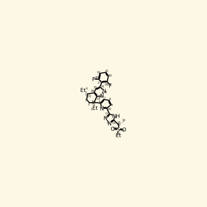 CC[C@H]1CC[C@](CC)(c2cccc(-c3nnc([C@H](C)S(=O)(=O)CC)[nH]3)n2)c2nnc(-c3c(F)cccc3F)cc21